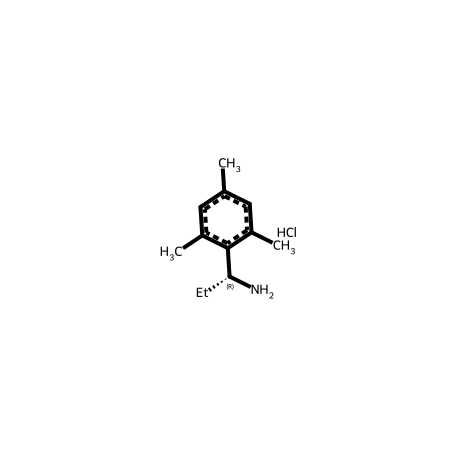 CC[C@@H](N)c1c(C)cc(C)cc1C.Cl